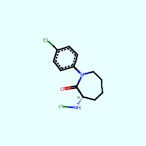 O=C1[C@@H](NCl)CCCCN1c1ccc(Cl)cc1